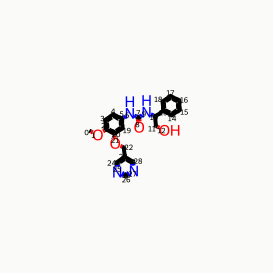 COc1ccc(NC(=O)NC(CO)c2ccccc2)cc1OCc1cncnc1